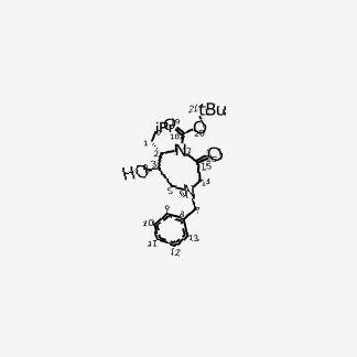 CC(C)C[C@H]1[C@H](O)CN(Cc2ccccc2)CC(=O)N1C(=O)OC(C)(C)C